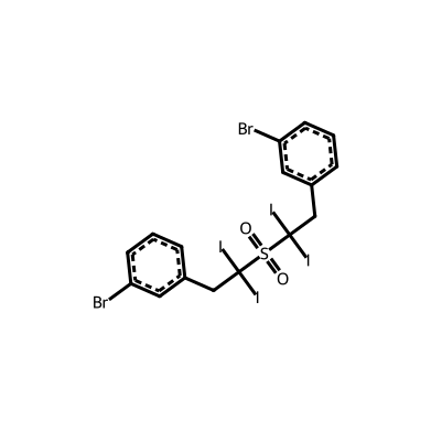 O=S(=O)(C(I)(I)Cc1cccc(Br)c1)C(I)(I)Cc1cccc(Br)c1